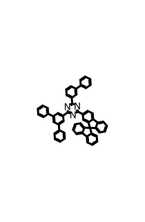 c1ccc(-c2cccc(-c3nc(-c4cc(-c5ccccc5)cc(-c5ccccc5)c4)nc(-c4ccc5c(c4)C4(c6ccccc6-c6ccccc64)c4ccccc4-5)n3)c2)cc1